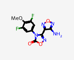 COc1c(F)cc(-n2c(-c3nonc3N)noc2=O)cc1F